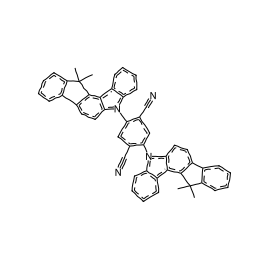 CC1(C)c2ccccc2-c2ccc3c(c21)c1ccccc1n3-c1cc(C#N)c(-n2c3ccccc3c3c4c(ccc32)-c2ccccc2C4(C)C)cc1C#N